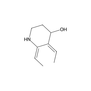 C/C=C1/NCCC(O)/C1=C/C